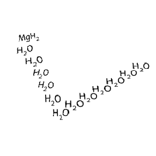 O.O.O.O.O.O.O.O.O.O.O.O.[MgH2]